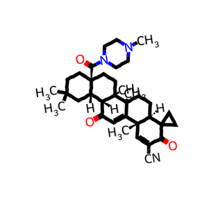 CN1CCN(C(=O)[C@]23CCC(C)(C)C[C@H]2[C@H]2C(=O)C=C4[C@@]5(C)C=C(C#N)C(=O)C6(CC6)[C@@H]5CC[C@@]4(C)[C@]2(C)CC3)CC1